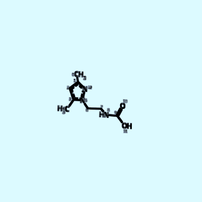 Cc1cc(C)n(CCNC(=O)O)n1